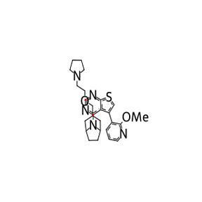 COc1ncccc1-c1csc2ncnc(N3C4CCC3CC(COCCN3CCCC3)C4)c12